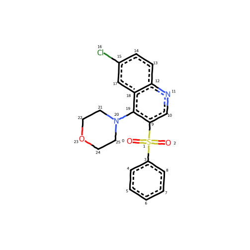 O=S(=O)(c1ccccc1)c1cnc2ccc(Cl)cc2c1N1CCOCC1